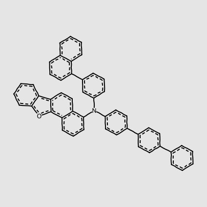 c1ccc(-c2ccc(-c3ccc(N(c4cccc(-c5cccc6ccccc56)c4)c4cccc5c4ccc4c6ccccc6oc54)cc3)cc2)cc1